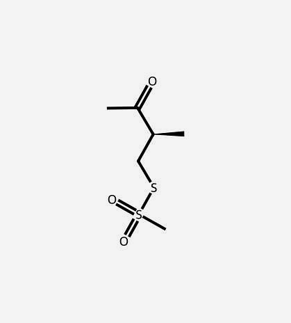 CC(=O)[C@@H](C)CSS(C)(=O)=O